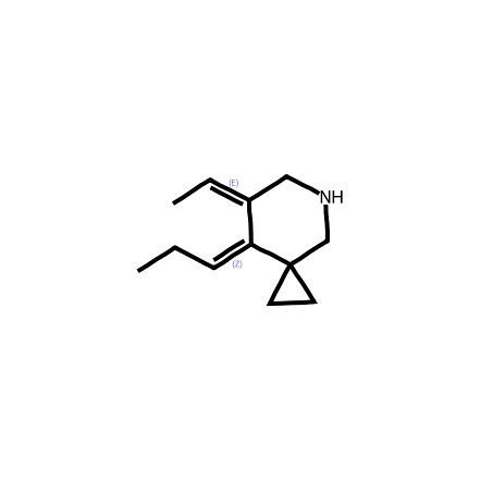 C/C=C1/CNCC2(CC2)/C1=C/CC